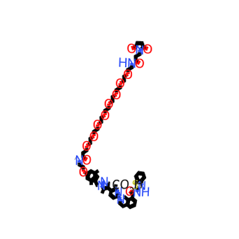 Cc1c(-c2ccc(N3CCc4cccc(C(=O)Nc5nc6ccccc6s5)c4C3)nc2C(=O)O)cnn1CC12CC3(C)CC(OCCN(C)C(=O)CCOCCOCCOCCOCCOCCOCCOCCOCCNC(=O)CCN4C(=O)C=CC4=O)(CC1(C)C3)C2